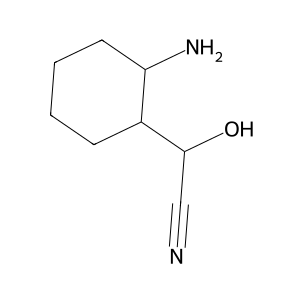 N#CC(O)C1CCCCC1N